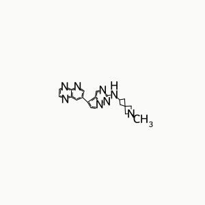 CN1CC2(CC(Nc3ncc4c(-c5cnc6nccnc6c5)ccn4n3)C2)C1